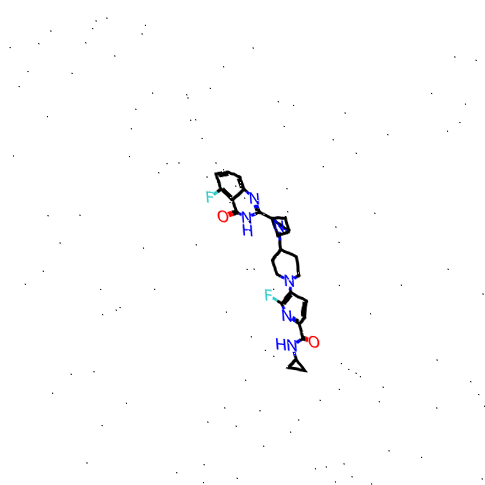 O=C(NC1CC1)c1ccc(N2CCC(N3CC4(c5nc6cccc(F)c6c(=O)[nH]5)CC3C4)CC2)c(F)n1